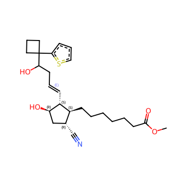 COC(=O)CCCCCC[C@@H]1[C@@H](/C=C/CC(O)C2(c3cccs3)CCC2)[C@H](O)C[C@H]1C#N